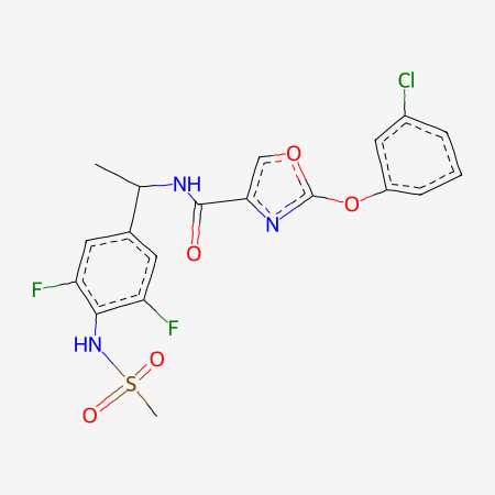 CC(NC(=O)c1coc(Oc2cccc(Cl)c2)n1)c1cc(F)c(NS(C)(=O)=O)c(F)c1